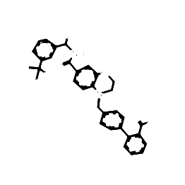 CC(NC(=O)c1ccc2c(c1)OCCN2Cc1ccc(-c2ccccc2C(=O)O)cc1)c1cccc(C(F)(F)F)c1